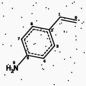 [CH]=Cc1ccc(N)cc1